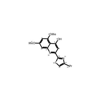 COc1cc(OC)c2c(O)cc(-c3nc(C(C)C)cs3)nc2c1